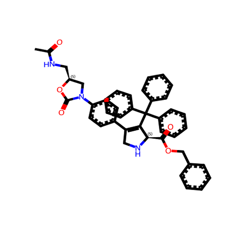 CC(=O)NC[C@H]1CN(c2ccc(C3=C(C(c4ccccc4)(c4ccccc4)c4ccccc4)[C@@H](C(=O)OCc4ccccc4)NC3)cc2)C(=O)O1